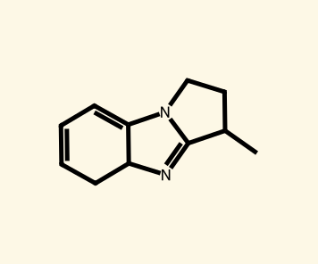 CC1CCN2C3=CC=CCC3N=C12